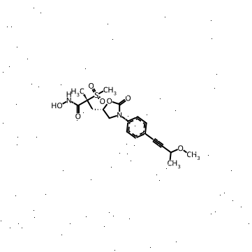 COC(C)C#Cc1ccc(N2C[C@H](C[C@](C)(C(=O)NO)S(C)(=O)=O)OC2=O)cc1